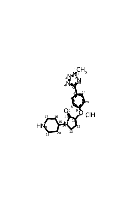 Cl.Cn1nnc(-c2ccc(OC3CCN(C4CCNCC4)C3=O)cc2)n1